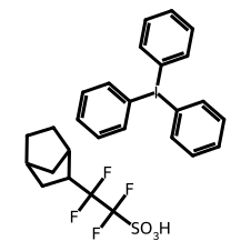 O=S(=O)(O)C(F)(F)C(F)(F)C1CC2CCC1C2.c1ccc(I(c2ccccc2)c2ccccc2)cc1